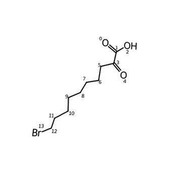 O=C(O)C(=O)CCCCCCCCBr